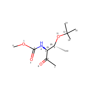 COC(=O)N[C@H](C(C)=O)[C@@H](C)OC(C)(C)C